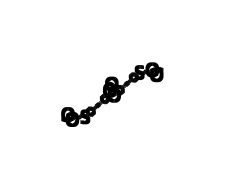 C=CC(=O)OCCCSc1ccc(C#Cc2ccc(COc3ccc(C#Cc4ccc(SCCCOC(=O)C=C)cc4)cc3C(=O)OC)cc2)cc1